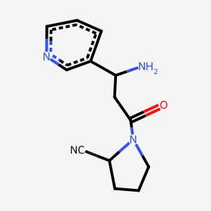 N#CC1CCCN1C(=O)CC(N)c1cccnc1